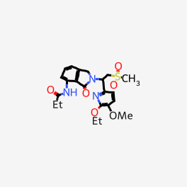 CCOc1nc(C(CS(C)(=O)=O)N2Cc3cccc(NC(=O)CC)c3C2=O)ccc1OC